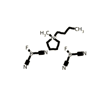 CCCC[N+]1(C)CCCC1.N#CB(F)C#N.N#CB(F)C#N